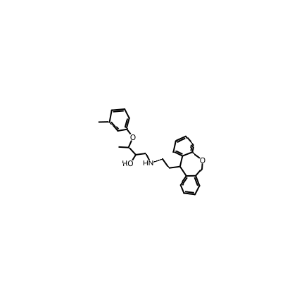 Cc1cccc(OC(C)C(O)CNCCC2c3ccccc3COc3ccccc32)c1